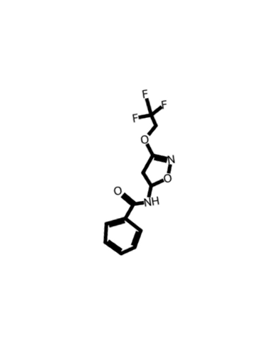 O=C(NC1CC(OCC(F)(F)F)=NO1)c1ccccc1